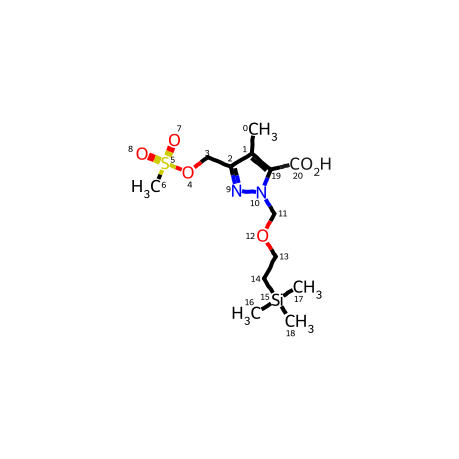 Cc1c(COS(C)(=O)=O)nn(COCC[Si](C)(C)C)c1C(=O)O